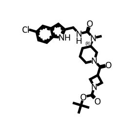 CN(C(=O)NCc1cc2cc(Cl)ccc2[nH]1)[C@@H]1CCCN(C(=O)C2CN(C(=O)OC(C)(C)C)C2)C1